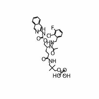 CC(=O)N(NCc1cccc(F)c1Cl)[C@@H](CCC(=O)NCC(C)(C)COP(=O)(O)O)COC(=O)Nc1cc2ccccc2cn1